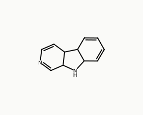 C1=CC2NC3C=NC=CC3C2C=C1